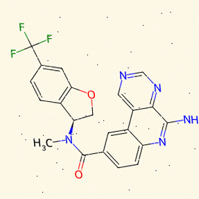 CN(C(=O)c1ccc2nc(N)c3ncncc3c2c1)[C@@H]1COc2cc(C(F)(F)F)ccc21